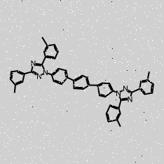 Cc1cccc(-c2nc(-c3cccc(C)c3)n(-c3ccc(-c4ccc(-c5ccc(-n6nc(-c7cccc(C)c7)nc6-c6cccc(C)c6)cc5)cc4)cc3)n2)c1